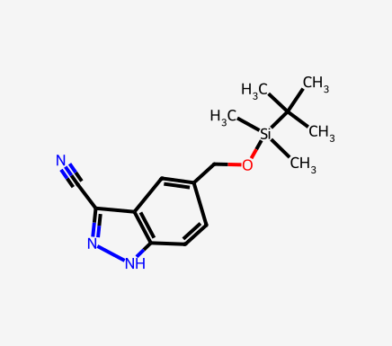 CC(C)(C)[Si](C)(C)OCc1ccc2[nH]nc(C#N)c2c1